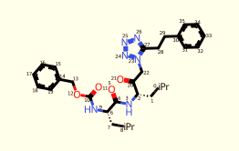 CC(C)C[C@H](NC(=O)[C@H](CC(C)C)NC(=O)OCc1ccccc1)C(=O)Cn1nnnc1CCc1ccccc1